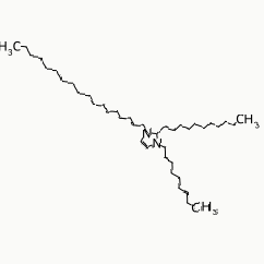 CCCCCCCCCCCCCCCCCCN1C=CN(CCCCCCCCC)C1CCCCCCCCCCC